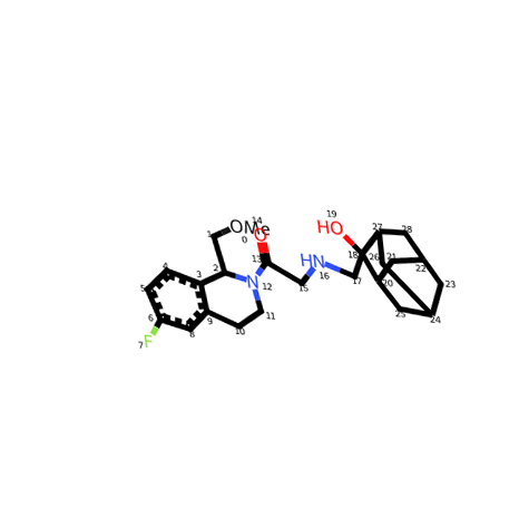 COCC1c2ccc(F)cc2CCN1C(=O)CNCC1(O)C2CC3CC(C2)CC1C3